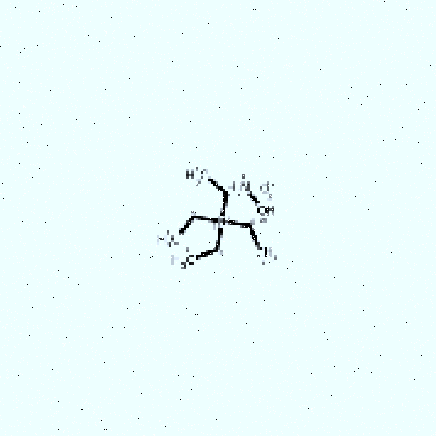 CC[N+](CC)(CC)CC.NO.[Cl-]